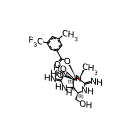 Cc1cc(C(=O)O[C@H]2[C@H](C)N3C(=N)N[C@@H](CO)[C@@H]4NC(=N)N[C@@]43C2(O)O)cc(C(F)(F)F)c1